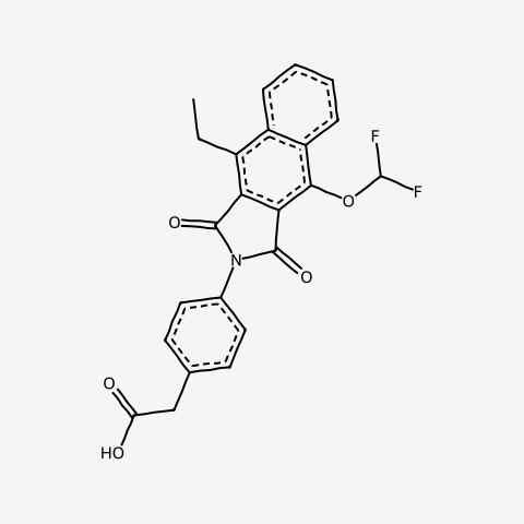 CCc1c2c(c(OC(F)F)c3ccccc13)C(=O)N(c1ccc(CC(=O)O)cc1)C2=O